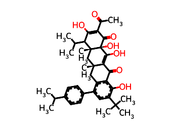 CC(=O)C1=C(O)C(C(C)C)[C@@]2(C)C[C@@]3(C)Cc4c(-c5ccc(C(C)C)cc5)cc(C(C)(C)C)c(O)c4C(=O)C3=C(O)[C@@]2(O)C1=O